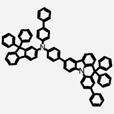 c1ccc(-c2ccc(N(c3ccc(-c4ccc5c(c4)c4cccc6c4n5-c4ccc(-c5ccccc5)cc4C6(c4ccccc4)c4ccccc4)cc3)c3ccc4c(c3)C(c3ccccc3)(c3ccccc3)c3ccccc3-4)cc2)cc1